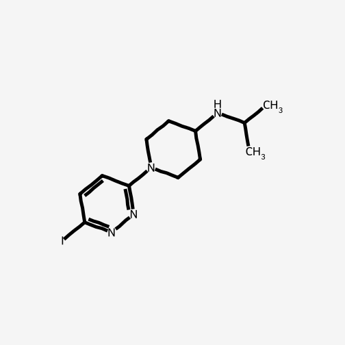 CC(C)NC1CCN(c2ccc(I)nn2)CC1